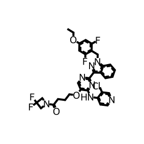 CCOc1cc(F)c(Cn2nc(-c3ncc(OCCCC(=O)N4CC(F)(F)C4)c(Nc4ccncc4Cl)n3)c3ccccc32)c(F)c1